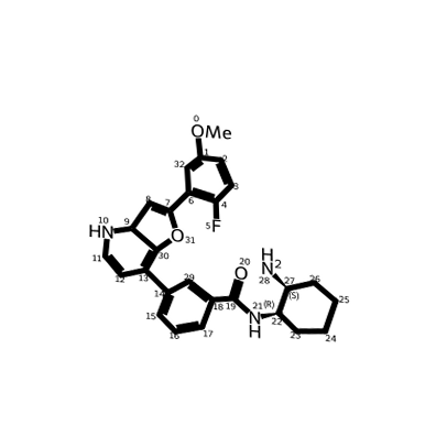 COc1ccc(F)c(C2=CC3NC=CC(c4cccc(C(=O)N[C@@H]5CCCC[C@@H]5N)c4)=C3O2)c1